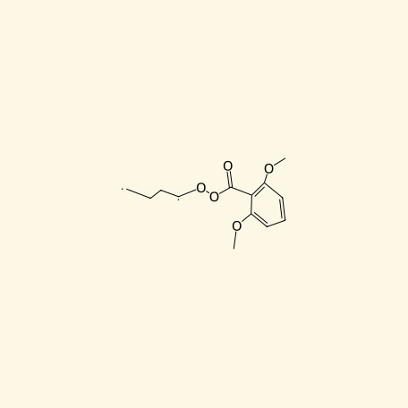 [CH2]CC[CH]OOC(=O)c1c(OC)cccc1OC